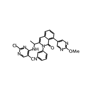 COc1ncc(-c2cccc3cc(C(C)Nc4nc(Cl)ncc4C#N)n(-c4ccccc4)c(=O)c23)cn1